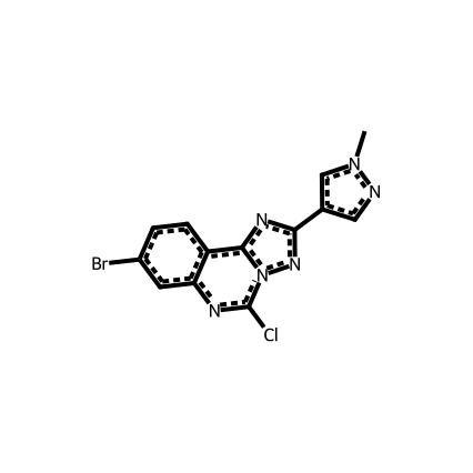 Cn1cc(-c2nc3c4ccc(Br)cc4nc(Cl)n3n2)cn1